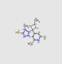 Cc1cc(C2(c3nnc(S)n3C)CC(C)C2)cc(Cl)n1